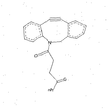 CCCC(=O)CCC(=O)N1Cc2ccccc2C#Cc2ccccc21